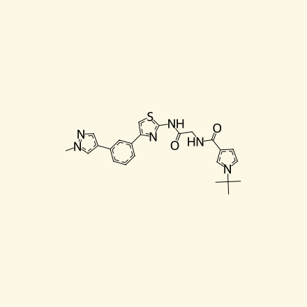 Cn1cc(-c2cccc(-c3csc(NC(=O)CNC(=O)c4ccn(C(C)(C)C)c4)n3)c2)cn1